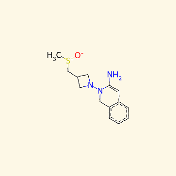 C[S+]([O-])CC1CN(N2Cc3ccccc3C=C2N)C1